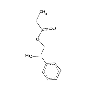 CCC(=O)OCC(O)c1ccccc1